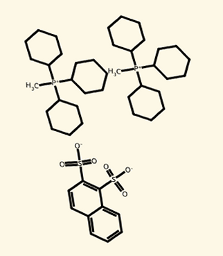 C[P+](C1CCCCC1)(C1CCCCC1)C1CCCCC1.C[P+](C1CCCCC1)(C1CCCCC1)C1CCCCC1.O=S(=O)([O-])c1ccc2ccccc2c1S(=O)(=O)[O-]